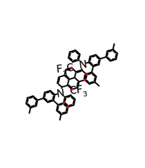 Cc1cccc(-c2ccc(N(C3=C4C=CC5=C6C(=CC=C(C=C3)C46)C(N(c3ccc(-c4cccc(C)c4)cc3-c3cccc(C)c3)c3ccccc3C(F)(F)F)C=C5)c3ccccc3C(F)(F)F)c(-c3cccc(C)c3)c2)c1